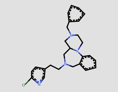 Clc1ccc(CCN2Cc3ccccc3N3CCN(Cc4ccccc4)CC3C2)cn1